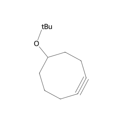 CC(C)(C)OC1CCC#CCCC1